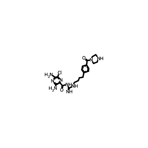 N=C(NCCCCc1ccc(C(=O)N2CCNCC2)cc1)NC(=O)c1nc(Cl)c(N)nc1N